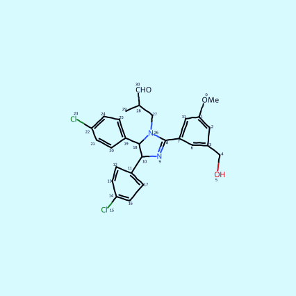 COc1cc(CO)cc(C2=NC(c3ccc(Cl)cc3)C(c3ccc(Cl)cc3)N2CC(C)C=O)c1